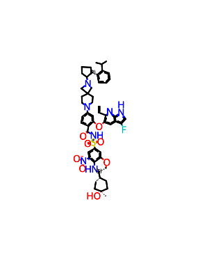 C=Cc1nc2[nH]cc(F)c2cc1Oc1cc(N2CCC3(CC2)CN(C2CCC[C@@H]2c2ccccc2C(C)C)C3)ccc1C(=O)NS(=O)(=O)c1cc2c(c([N+](=O)[O-])c1)N[C@@H]([C@H]1CC[C@](C)(O)CC1)CO2